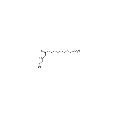 O=C(O)CCCCCCCCC(=O)ONCCO